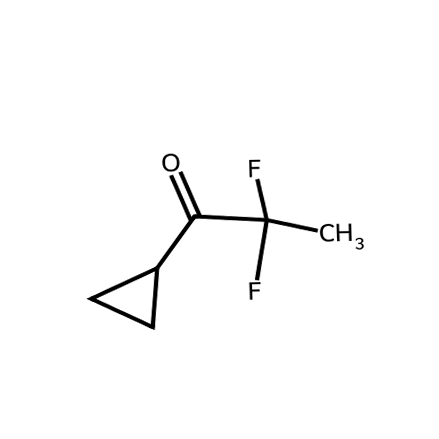 CC(F)(F)C(=O)C1CC1